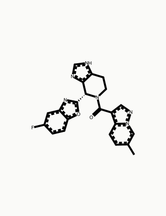 Cc1ccc2c(C(=O)N3CCc4[nH]cnc4[C@H]3c3nc4cc(F)ccc4o3)cnn2c1